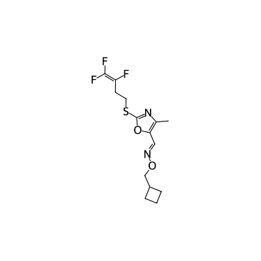 Cc1nc(SCCC(F)=C(F)F)oc1C=NOCC1CCC1